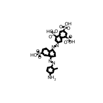 Cc1cc(N)ccc1N=Nc1ccc(N=Nc2cc(S(=O)(=O)O)c3cc(S(=O)(=O)O)cc(S(=O)(=O)O)c3c2)c2ccc(S(=O)(=O)O)cc12